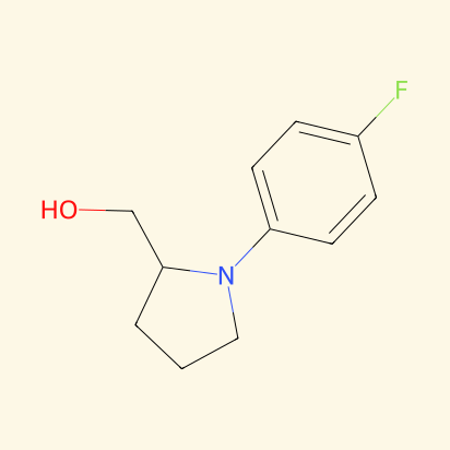 OCC1CCCN1c1ccc(F)cc1